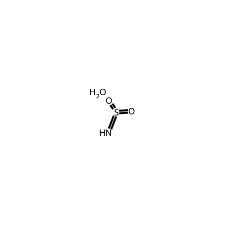 N=S(=O)=O.O